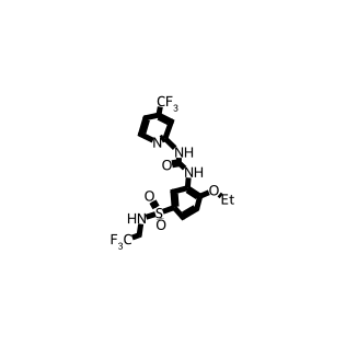 CCOc1ccc(S(=O)(=O)NCC(F)(F)F)cc1NC(=O)Nc1cc(C(F)(F)F)ccn1